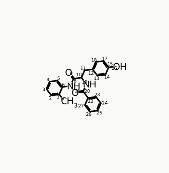 Cc1ccccc1NC(=O)C(Cc1ccc(O)cc1)NC(=O)c1ccccc1